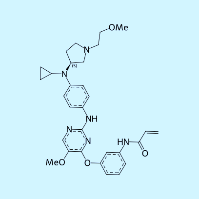 C=CC(=O)Nc1cccc(Oc2nc(Nc3ccc(N(C4CC4)[C@H]4CCN(CCOC)C4)cc3)ncc2OC)c1